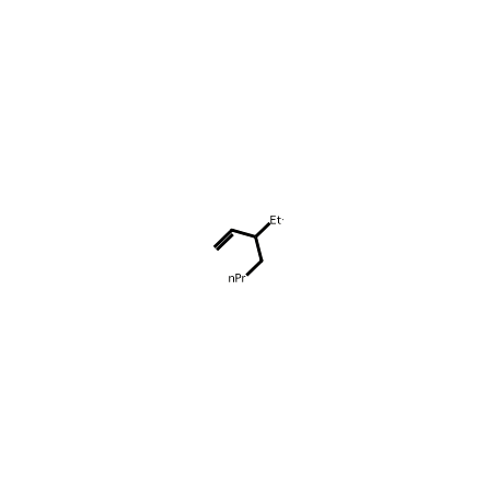 C=CC([CH]C)CCCC